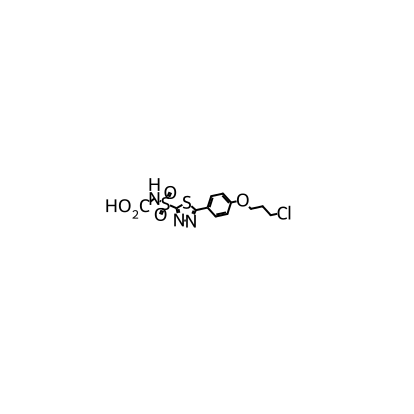 O=C(O)NS(=O)(=O)c1nnc(-c2ccc(OCCCCl)cc2)s1